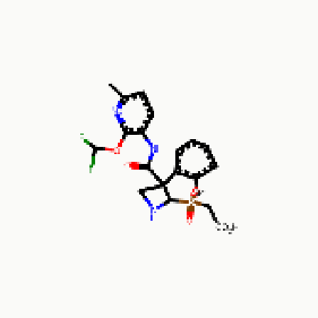 Cc1ccc(NC(=O)C2(c3ccccc3C(C)C)CNC2S(=O)(=O)CC(=O)O)c(OC(F)F)n1